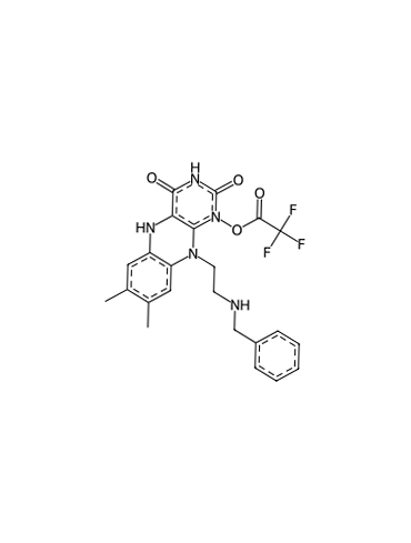 Cc1cc2c(cc1C)N(CCNCc1ccccc1)c1c(c(=O)[nH]c(=O)n1OC(=O)C(F)(F)F)N2